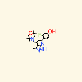 Cc1n[nH]c2nc(-c3ccc(O)cc3F)cc(CN3CC(C)(C)OCC3(C)C)c12